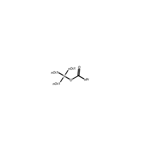 [CH2]CCC(=O)O[Si](CCCCCCCC)(CCCCCCCC)CCCCCCCC